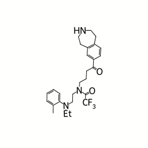 CCN(CCN(CCCC(=O)c1ccc2c(c1)CCNCC2)C(=O)C(F)(F)F)c1ccccc1C